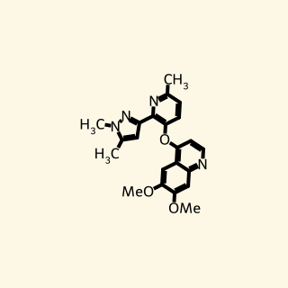 COc1cc2nccc(Oc3ccc(C)nc3-c3cc(C)n(C)n3)c2cc1OC